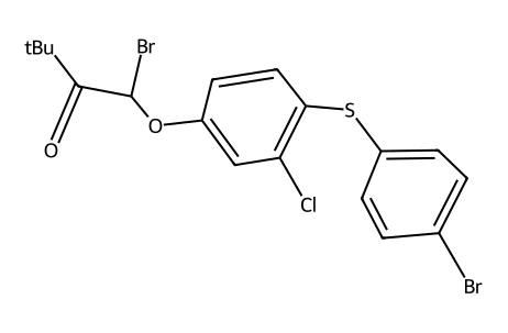 CC(C)(C)C(=O)C(Br)Oc1ccc(Sc2ccc(Br)cc2)c(Cl)c1